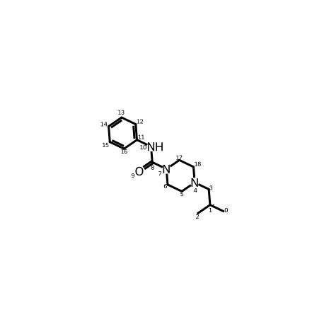 C[C](C)CN1CCN(C(=O)Nc2ccccc2)CC1